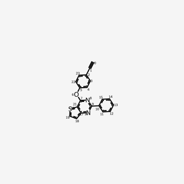 C#Cc1ccc(Oc2nc(-c3ccccc3)nc3ccsc23)cc1